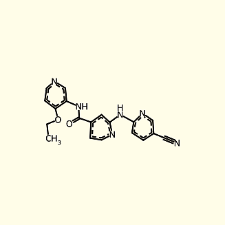 CCOc1ccncc1NC(=O)c1ccnc(Nc2ccc(C#N)cn2)c1